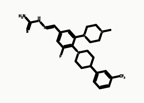 CN1CCN(c2cc(/C=N/NC(N)=S)cc(F)c2N2CCC(c3cccc(C(F)(F)F)c3)CC2)CC1